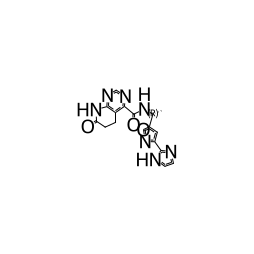 C[C@@H](NC(=O)c1ncnc2c1CCC(=O)N2)c1cc(-c2ncc[nH]2)no1